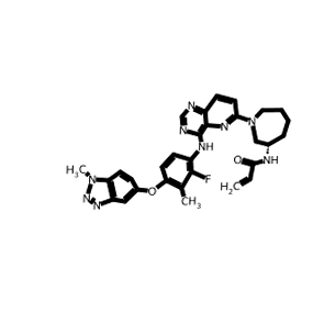 C=CC(=O)N[C@H]1CCCCN(c2ccc3ncnc(Nc4ccc(Oc5ccc6c(c5)nnn6C)c(C)c4F)c3n2)C1